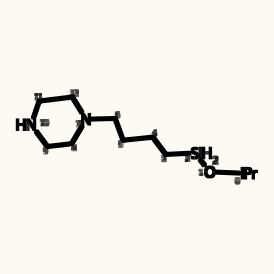 CC(C)O[SiH2]CCCCN1CCNCC1